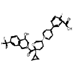 O=C(O)c1cc(C2CCN([C@@H]3CC[C@@](C(=O)N4Cc5cc(C(F)(F)F)ccc5[C@@H](O)C4)(C4CC4)OC3)CC2)ccc1F